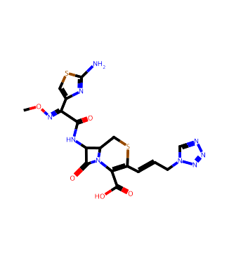 CON=C(C(=O)NC1C(=O)N2C(C(=O)O)=C(C=CCn3cnnn3)SCC12)c1csc(N)n1